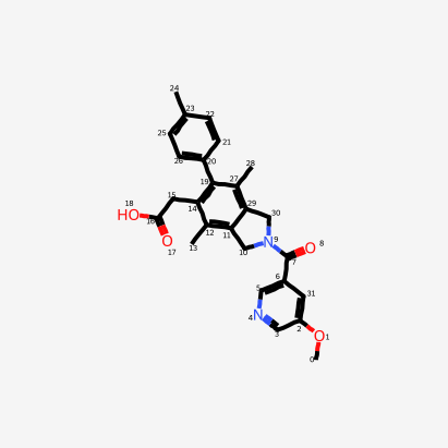 COc1cncc(C(=O)N2Cc3c(C)c(CC(=O)O)c(-c4ccc(C)cc4)c(C)c3C2)c1